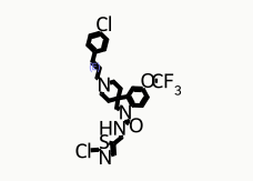 O=C(NCc1cnc(Cl)s1)N1CC2(CCN(C/C=C/c3ccc(Cl)cc3)CC2)c2cc(OC(F)(F)F)ccc21